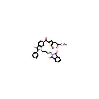 COC(=O)Cc1cc(C(=O)c2ccc3c(F)c(-c4ccccc4)n(CCCCN4C(=O)c5ccccc5C4=O)c3c2)sc1Br